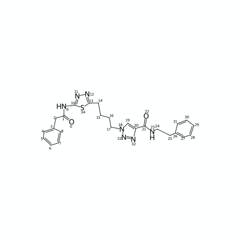 O=C(Cc1ccccc1)Nc1nnc(CCCCn2cc(C(=O)NCCc3ccccc3)nn2)s1